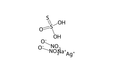 O=S(O)(O)=S.O=[N+]([O-])[O-].O=[N+]([O-])[O-].[Ag+].[Na+]